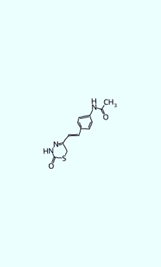 CC(=O)Nc1ccc(C=CC2=NNC(=O)SC2)cc1